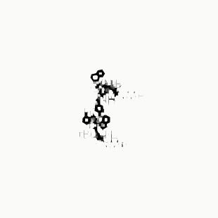 CN[C@@H](C)C(=O)NC(C(=O)N1CCc2ccccc2[C@H]1C(=O)N(Cc1ccc(C(=O)N[C@H]2C[C@@H](C(=O)N[C@@H]3CCCc4ccccc43)N(C(=O)[C@@H](NC(=O)[C@H](C)NC)C(C)(C)C)C2)cc1)[C@H](C)c1ccccc1F)C(C)(C)C